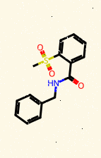 CS(=O)(=O)c1ccccc1C(=O)NCc1ccccc1